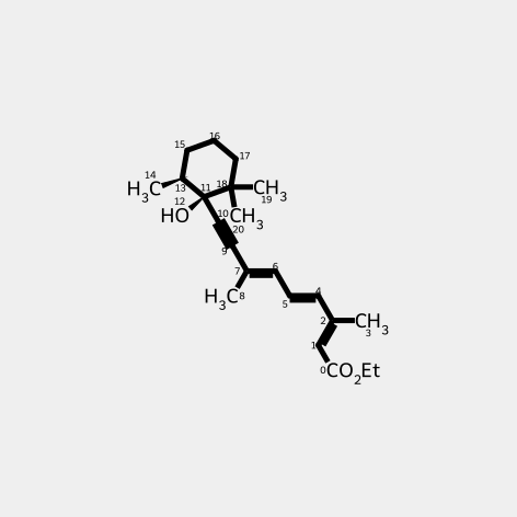 CCOC(=O)C=C(C)C=CC=C(C)C#C[C@]1(O)[C@@H](C)CCCC1(C)C